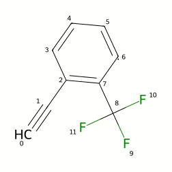 C#Cc1ccc[c]c1C(F)(F)F